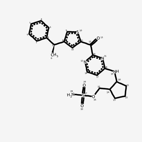 C[C@@H](c1ccccc1)c1csc(C(=O)c2nccc(NC3CCCC3COS(N)(=O)=O)n2)c1